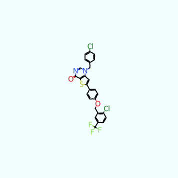 O=c1ncn(Cc2ccc(Cl)cc2)c2cc(-c3ccc(OCc4cc(C(F)(F)F)ccc4Cl)cc3)sc12